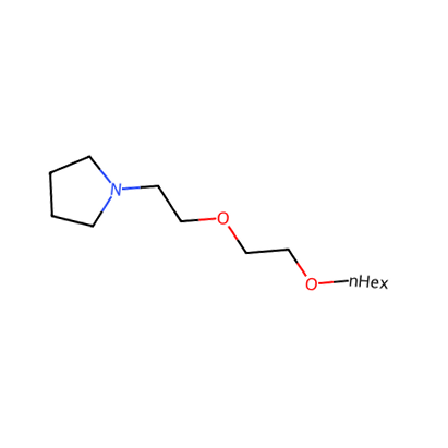 CCCCCCOCCOCCN1CCCC1